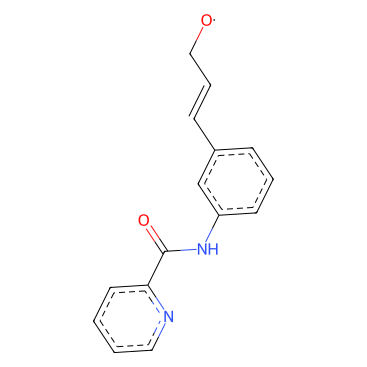 [O]CC=Cc1cccc(NC(=O)c2ccccn2)c1